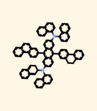 C1=c2ccccc2=CC(N(c2ccc3c(-c4ccc5c(c4)CCc4ccccc4-5)c4cc(N(c5cccc6ccccc56)c5cccc6ccccc56)ccc4c(-c4ccc5c(ccc6ccccc65)c4)c3c2)c2cccc3ccccc23)C1